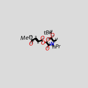 CCCN(C(=O)COC(=O)/C=C/C(=O)OC)C(C)C(=O)OC(C)(C)C